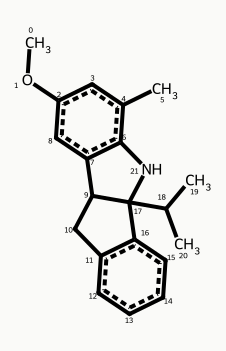 COc1cc(C)c2c(c1)C1Cc3ccccc3C1(C(C)C)N2